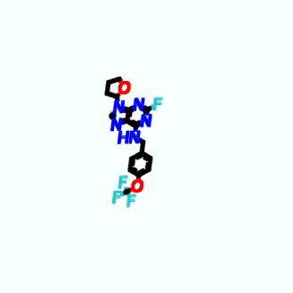 Fc1nc(NCc2ccc(OC(F)(F)F)cc2)c2ncn(C3CCCO3)c2n1